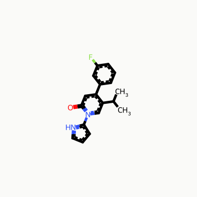 CC(C)c1cn(-c2ccc[nH]2)c(=O)cc1-c1cccc(F)c1